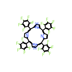 Fc1c(F)c(F)c(-c2c3nc(c(-c4c(F)c(F)c(F)c(F)c4F)c4ccc([nH]4)c(-c4c(F)c(F)c(F)c(F)c4F)c4nc(c(-c5c(F)c(F)c(F)c(F)c5F)c5ccc2[nH]5)CC4)C=C3)c(F)c1F